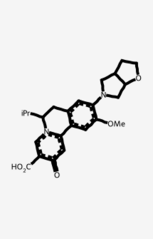 COc1cc2c(cc1N1CC3CCOC3C1)CC(C(C)C)n1cc(C(=O)O)c(=O)cc1-2